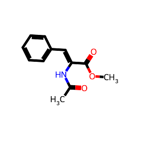 COC(=O)C(=Cc1ccccc1)NC(C)=O